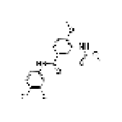 COC(=O)Nc1cc(C(=O)Nc2ccc(Cl)c(Cl)c2)ccc1OC